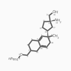 CCCCCOCC1CCC2=CC(C)([C@H]3CC[C@](N)(CO)C3)CC=C2C1